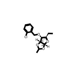 CC[C@H]1O[C@@H]2OC(C)O[C@@H]2[C@H]1OCc1ccccc1Cl